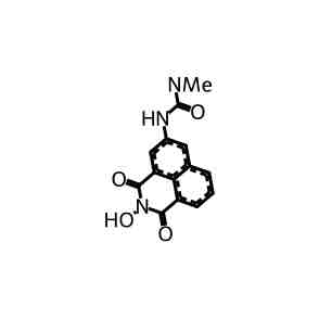 CNC(=O)Nc1cc2c3c(cccc3c1)C(=O)N(O)C2=O